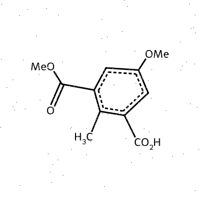 COC(=O)c1cc(OC)cc(C(=O)O)c1C